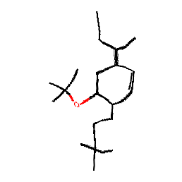 CCC(C)C1C=CC(CCC(C)(C)C)C(OC(C)(C)C)C1